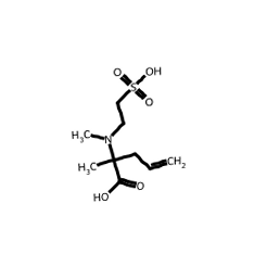 C=CCC(C)(C(=O)O)N(C)CCS(=O)(=O)O